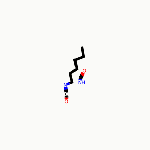 CCCCCCN=C=O.N=C=O